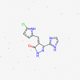 O=C1NN=C(c2ncc[nH]2)C1=Cc1ccc(Cl)[nH]1